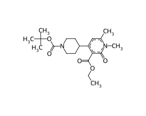 CCOC(=O)c1c(C2CCN(C(=O)OC(C)(C)C)CC2)cc(C)n(C)c1=O